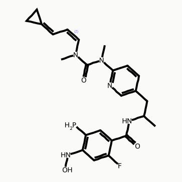 CC(Cc1ccc(N(C)C(=O)N(C)/C=C\C=C2CC2)nc1)NC(=O)c1cc(P)c(NO)cc1F